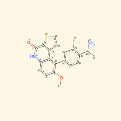 COc1ccc2[nH]c(=O)c3sccc3c2c1-c1ccc(C(C)N)c(F)c1